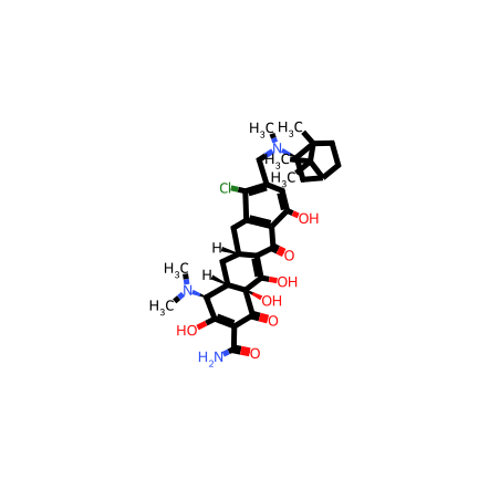 CN(C)[C@@H]1C(O)=C(C(N)=O)C(=O)[C@@]2(O)C(O)=C3C(=O)c4c(O)cc(CN(C)[C@@H]5CC6CCC5(C)C6(C)C)c(Cl)c4C[C@H]3C[C@@H]12